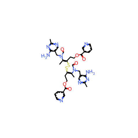 CC(=C(CCOC(=O)c1cccnc1)SSC(CCOC(=O)c1cccnc1)=C(C)N(C=O)Cc1cnc(C)nc1N)N(C=O)Cc1cnc(C)nc1N